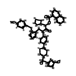 N#Cc1ccc(Cn2cncc2CN(C(=O)C(OC(=O)c2cccc3ccccc23)C2CCCC2)c2ccc(N3CCN(C(=O)c4ccc(Cl)s4)CC3)cc2)cc1